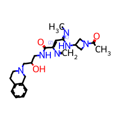 C=N/C(=C\C(=N/C)NC1CN(C(C)=O)C1)C(=O)NCC(O)CN1CCc2ccccc2C1